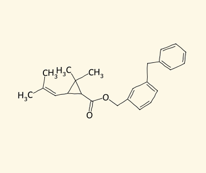 CC(C)=CC1C(C(=O)OCc2cccc(Cc3ccccc3)c2)C1(C)C